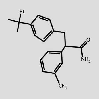 CCC(C)(C)c1ccc(CC(C(N)=O)c2cccc(C(F)(F)F)c2)cc1